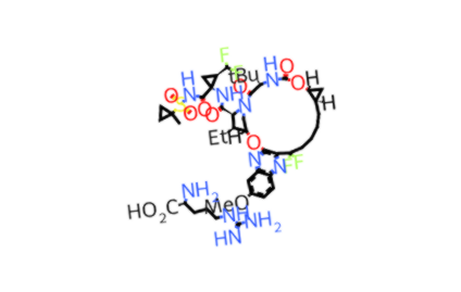 CC[C@@H]1[C@@H]2CN(C(=O)[C@H](C(C)(C)C)NC(=O)O[C@@H]3C[C@H]3CCCCC(F)(F)c3nc4ccc(OC)cc4nc3O2)[C@@H]1C(=O)N[C@]1(C(=O)NS(=O)(=O)C2(C)CC2)C[C@H]1C(F)F.N=C(N)NCCC[C@H](N)C(=O)O